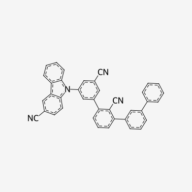 N#Cc1cc(-c2cccc(-c3cccc(-c4ccccc4)c3)c2C#N)cc(-n2c3ccccc3c3cc(C#N)ccc32)c1